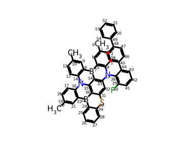 Cc1ccc2c(c1)B1c3cc(C)ccc3N3c4ccc(C)cc4B4c5ccccc5Sc5cc(c1c3c54)N2c1c(F)cccc1-c1ccc(-c2ccccc2)cc1